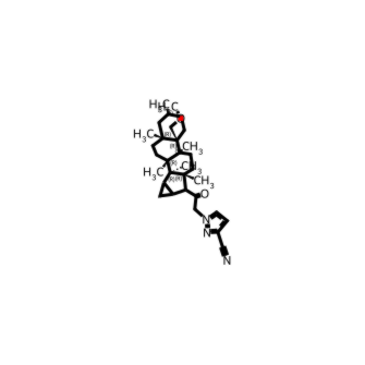 COC[C@]12CC[C@H](C)C[C@@]1(C)CC[C@]1(C)[C@]2(C)CC[C@]2(C)C(C(=O)Cn3ccc(C#N)n3)C3CC3[C@@]12C